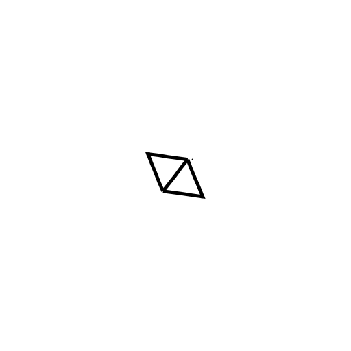 C1[C]2CC12